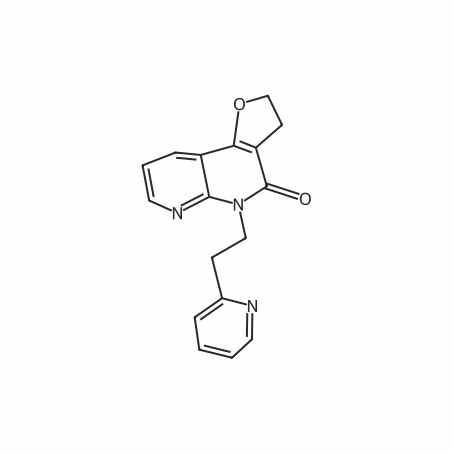 O=c1c2c(c3cccnc3n1CCc1ccccn1)OCC2